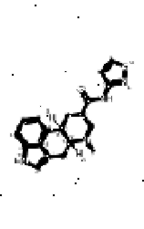 CN1CC(C(=O)Nc2ccsn2)C[C@@H]2c3cccc4[nH]cc(c34)C[C@H]21